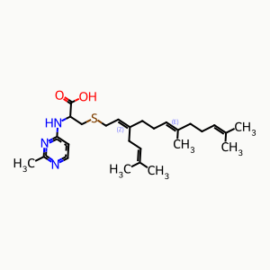 CC(C)=CCC/C(C)=C/CC/C(=C/CSCC(Nc1ccnc(C)n1)C(=O)O)CC=C(C)C